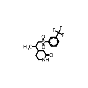 CC(CS(=O)(=O)c1cccc(C(F)(F)F)c1)C1CCNC(=O)C1